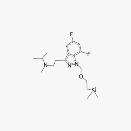 CC(C)N(C)CCc1nn(COCC[Si](C)(C)C)c2c(F)cc(F)cc12